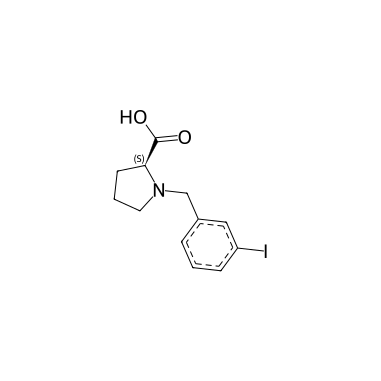 O=C(O)[C@@H]1CCCN1Cc1cccc(I)c1